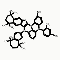 Cc1cc(C(C)(C)C)ccc1N1c2ccc(C(C)(C)C)cc2B2c3sc4cc5c(cc4c3N(c3ccc4c(c3)C(C)(C)CCCC4(C)C)c3cccc1c32)C(C)(C)CCC5(C)C